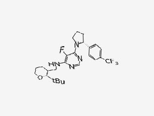 CC(C)(C)C1OCCCC1CNc1ncnc(N2CCC[C@@H]2c2ccc(C(F)(F)F)cc2)c1F